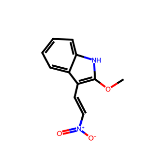 COc1[nH]c2ccccc2c1C=C[N+](=O)[O-]